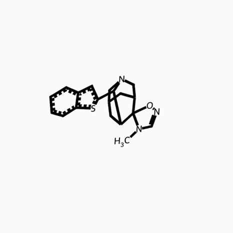 CN1C=NOC12C1CC3CC2C(c2cc4ccccc4s2)N(C3)C1